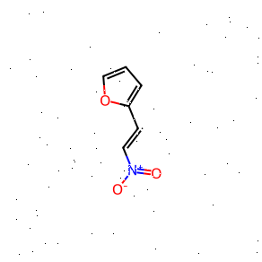 O=[N+]([O-])/C=[C]/c1ccco1